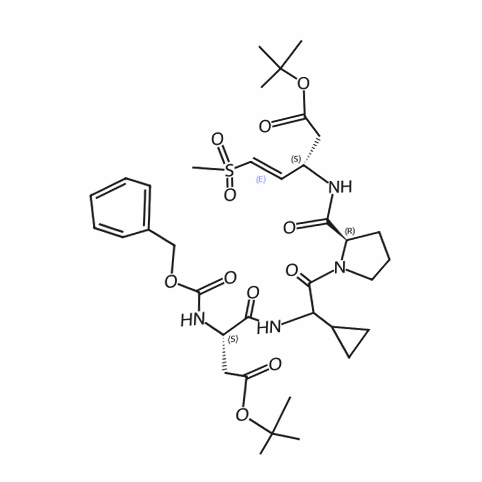 CC(C)(C)OC(=O)C[C@@H](/C=C/S(C)(=O)=O)NC(=O)[C@H]1CCCN1C(=O)C(NC(=O)[C@H](CC(=O)OC(C)(C)C)NC(=O)OCc1ccccc1)C1CC1